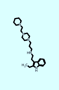 CCc1[nH]c2ccccc2c1CCNCCCN1CCN(CCN2CCCCC2)CC1